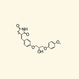 COc1ccc(OC[C@@H](O)COc2ccc(C=C3SC(=O)NC3=O)cc2)cc1